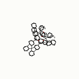 C=Cc1ccc(C2(c3ccccc3)c3ccccc3-c3ccc(N(c4ccc(-c5ccccc5)cc4)c4ccc5c(c4)C4(c6ccccc6-5)c5ccccc5-c5ccc(N(c6ccc(-c7ccccc7)cc6)c6ccc7c(c6)C(c6ccccc6)(c6ccc(C=C)cc6)c6ccccc6-7)cc54)cc32)cc1